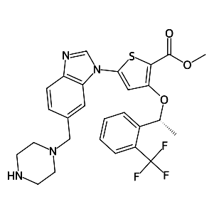 COC(=O)c1sc(-n2cnc3ccc(CN4CCNCC4)cc32)cc1O[C@H](C)c1ccccc1C(F)(F)F